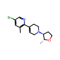 Cc1cc(Br)cnc1C1=CCN([C@H]2CCO[C@@H]2C)CC1